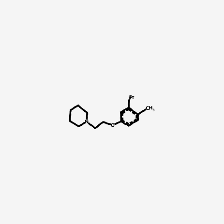 Cc1ccc(OCCN2CCCCC2)cc1C(C)C